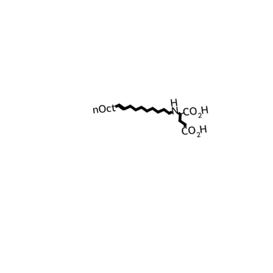 CCCCCCCCC=CCCCCCCCCN[C@@H](CCC(=O)O)C(=O)O